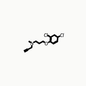 C#CCN(C)CCCOC1=C(Cl)CC(Cl)C=C1